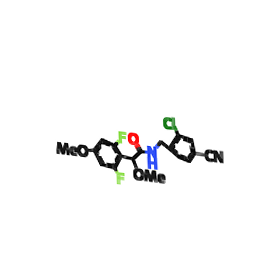 COc1cc(F)c(C(OC)C(=O)NCc2ccc(C#N)cc2Cl)c(F)c1